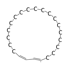 [C]1=C/C=C\CCCCCCCCCCCCCCCCCC/1